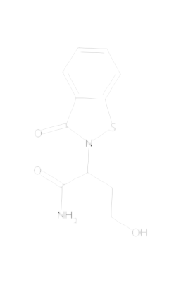 NC(=O)C(CCO)n1sc2ccccc2c1=O